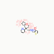 BC(B)(C[C@@]1(c2ccccn2)CC(B)(B)OC2(CC(B)(B)C(B)(B)C2)C1)NCc1sccc1OC